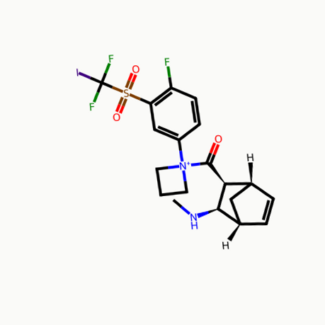 CN[C@H]1[C@@H](C(=O)[N+]2(c3ccc(F)c(S(=O)(=O)C(F)(F)I)c3)CCC2)[C@@H]2C=C[C@H]1C2